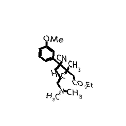 CCOC(=O)CC(C)(C)C(C#N)(CCCN(C)C)c1cccc(OC)c1